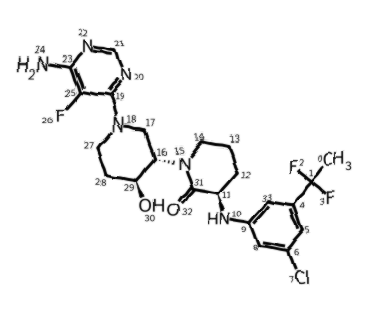 CC(F)(F)c1cc(Cl)cc(N[C@@H]2CCCN([C@H]3CN(c4ncnc(N)c4F)CC[C@@H]3O)C2=O)c1